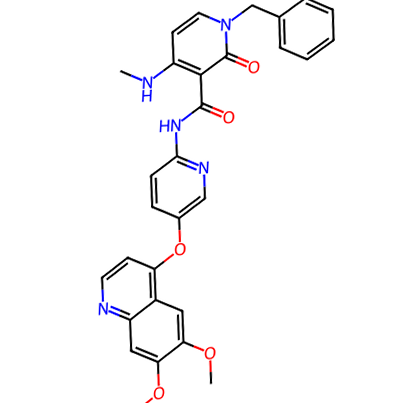 CNc1ccn(Cc2ccccc2)c(=O)c1C(=O)Nc1ccc(Oc2ccnc3cc(OC)c(OC)cc23)cn1